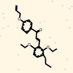 C=CCOc1ccc(C(=O)/C=C/c2c(OCC)ccc(CCC)c2OCC)cc1